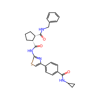 O=C(NC1CC1)c1ccc(-c2csc(NC(=O)[C@@H]3CCC[C@@H]3C(=O)NCc3ccccc3)n2)cc1